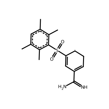 Cc1cc(C)c(C)c(S(=O)(=O)C2=CC(C(=N)N)=CC[CH]2)c1C